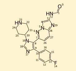 O=CNc1cn2nc(-c3c(-c4ccc(F)cc4)ncn3C3CCNCC3)ccc2n1